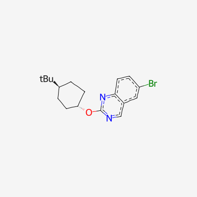 CC(C)(C)[C@H]1CC[C@H](Oc2ncc3cc(Br)ccc3n2)CC1